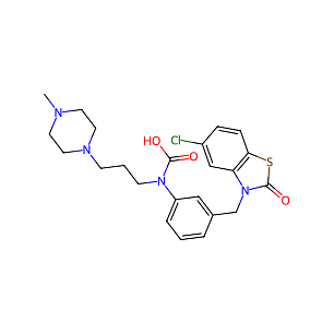 CN1CCN(CCCN(C(=O)O)c2cccc(Cn3c(=O)sc4ccc(Cl)cc43)c2)CC1